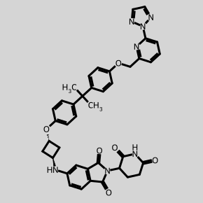 CC(C)(c1ccc(OCc2cccc(-n3nccn3)n2)cc1)c1ccc(O[C@H]2C[C@H](Nc3ccc4c(c3)C(=O)N(C3CCC(=O)NC3=O)C4=O)C2)cc1